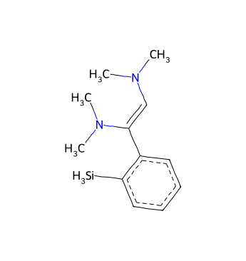 CN(C)C=C(c1ccccc1[SiH3])N(C)C